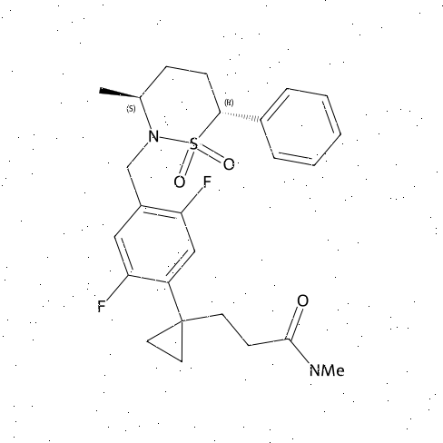 CNC(=O)CCC1(c2cc(F)c(CN3[C@@H](C)CC[C@H](c4ccccc4)S3(=O)=O)cc2F)CC1